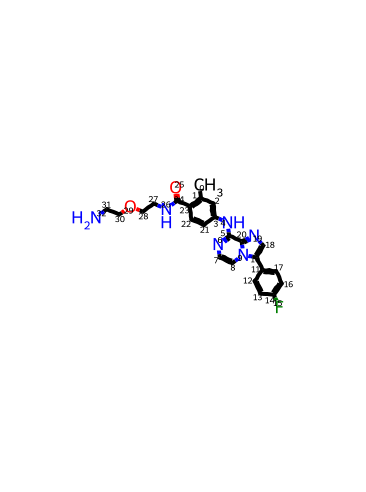 Cc1cc(Nc2nccn3c(-c4ccc(F)cc4)cnc23)ccc1C(=O)NCCOCCN